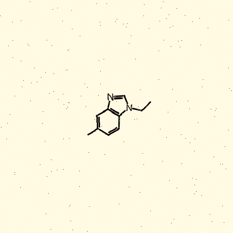 CCn1cnc2cc(C)ccc21